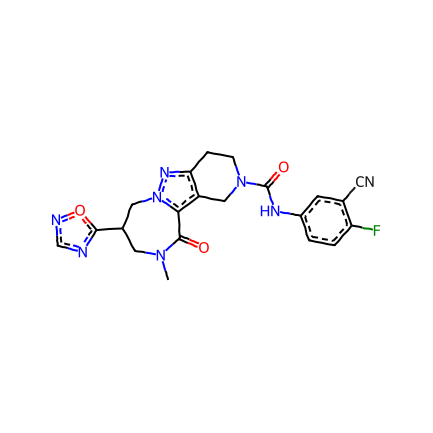 CN1CC(c2ncno2)Cn2nc3c(c2C1=O)CN(C(=O)Nc1ccc(F)c(C#N)c1)CC3